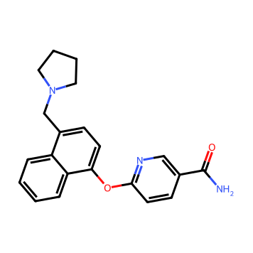 NC(=O)c1ccc(Oc2ccc(CN3CCCC3)c3ccccc23)nc1